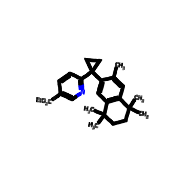 CCOC(=O)c1ccc(C2(c3cc4c(cc3C)C(C)(C)CCC4(C)C)CC2)nc1